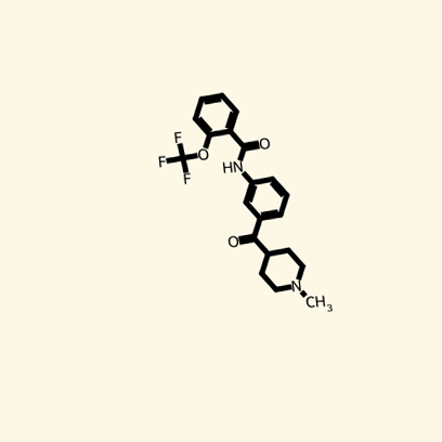 CN1CCC(C(=O)c2cccc(NC(=O)c3ccccc3OC(F)(F)F)c2)CC1